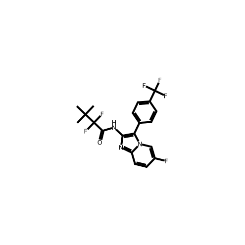 CC(C)(C)C(F)(F)C(=O)Nc1nc2ccc(F)cn2c1-c1ccc(C(F)(F)F)cc1